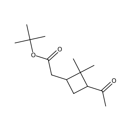 CC(=O)C1CC(CC(=O)OC(C)(C)C)C1(C)C